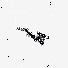 COC(=O)CCOC(=O)Nc1ccc(NC(=O)[C@H](Cc2cc(F)cc(F)c2)NC(=O)/C=C/c2cc(Cl)ccc2-n2cnnn2)cc1